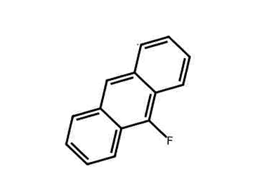 Fc1c2ccc[c]c2cc2ccccc12